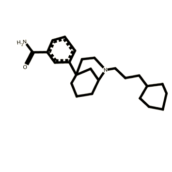 NC(=O)c1cccc(C23CCCC(C2)N(CCCC2CCCCC2)CC3)c1